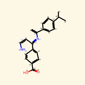 C=C(/N=C(\C=C/N)c1ccc(C(=O)O)cc1)c1ccc(C(C)C)cc1